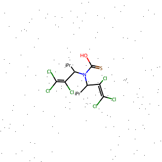 CC(C)C(C(Cl)=C(Cl)Cl)N(C(O)=S)C(C(Cl)=C(Cl)Cl)C(C)C